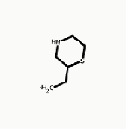 [CH2]CC1CNCCS1